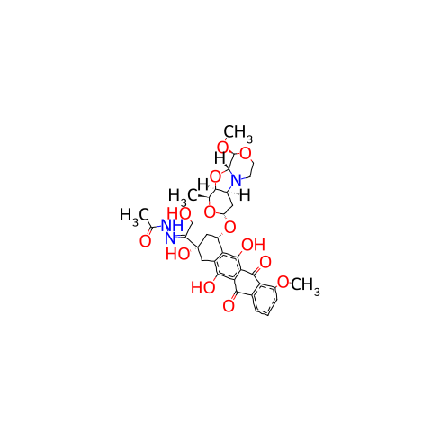 COc1cccc2c1C(=O)c1c(O)c3c(c(O)c1C2=O)C[C@@](O)(/C(CO)=N/NC(C)=O)C[C@@H]3O[C@H]1C[C@H]2[C@H](O[C@@H]3[C@@H](OC)OCCN32)[C@H](C)O1